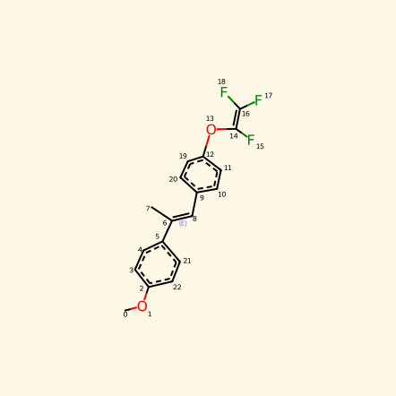 COc1ccc(/C(C)=C/c2ccc(OC(F)=C(F)F)cc2)cc1